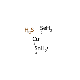 S.[Cu].[SeH2].[SnH2]